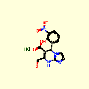 Cl.O=CC1=C(C(=O)O)C(c2cccc([N+](=O)[O-])c2)n2ccnc2N1